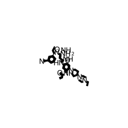 C=CC(=O)Nc1cc(NC(=N)/C=C(\NN)N2OCC[C@@H]2c2cccc(C#N)c2)c(OC)cc1N1CCC(N2CCN(CC)CC2)CC1